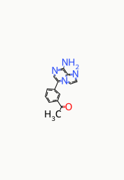 CC(=O)c1cccc(-c2cnc(N)c3nccn23)c1